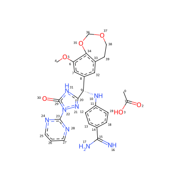 CC(=O)O.COc1cc([C@H](Nc2ccc(C(=N)N)cc2)c2nn(-c3ncccn3)c(=O)[nH]2)cc2c1OCOCC2